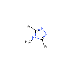 [CH2-][NH+]1C(C(C)C)=NN=C1C(C)C